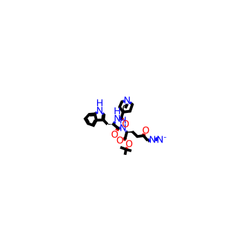 CC(C)(C)OC(=O)[C@H](CCC(=O)C=[N+]=[N-])NC(=O)[C@H](Cc1c[nH]c2ccccc12)NC(=O)C12CCN(CC1)CC2